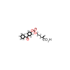 C=C(CCCCOC(=O)Oc1ccc(C(=O)c2ccccc2)cc1)C(=O)O